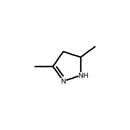 CC1=NNC(C)C1